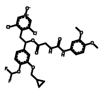 COc1ccc(NC(=O)NCC(=O)OC(Cc2c(Cl)c[n+]([O-])cc2Cl)c2ccc(OC(F)F)c(OCC3CC3)c2)cc1OC